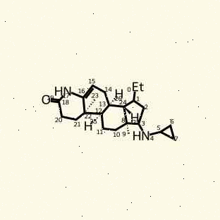 CCC1CC(NC2CC2)[C@@]2(C)CC[C@@H]3[C@@H](CC=C4NC(=O)CC[C@@]43C)[C@H]12